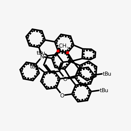 CC1C2=C(C=CC1C(C)(C)C)Oc1ccc(C(C)(C)C)cc1C21c2ccccc2-c2ccc(-c3ccccc3N(c3ccccc3)c3ccc4c(c3)C3(c5cc(C(C)(C)C)ccc5Oc5ccc(C(C)(C)C)cc53)c3ccccc3-4)cc21